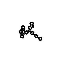 c1ccc(-c2ccc(-c3ccc(N(c4ccc5c(c4)sc4ccccc45)c4ccc5c(c4)n4c6ccccc6c6ccc7c8ccccc8n5c7c64)cc3)cc2)cc1